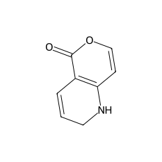 O=c1occc2c1C=CCN2